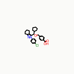 O=C(O)c1ccc(COC(c2c3c(nn2-c2ccc(Cl)cc2)CCCC3)C2CCCCC2)cc1